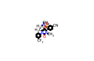 CC1=C(C#N)[C@@H](c2ccc(C#N)cc2S(=O)(=O)N(C)C)N(C)C(=O)N1c1cccc(C(F)(F)F)c1